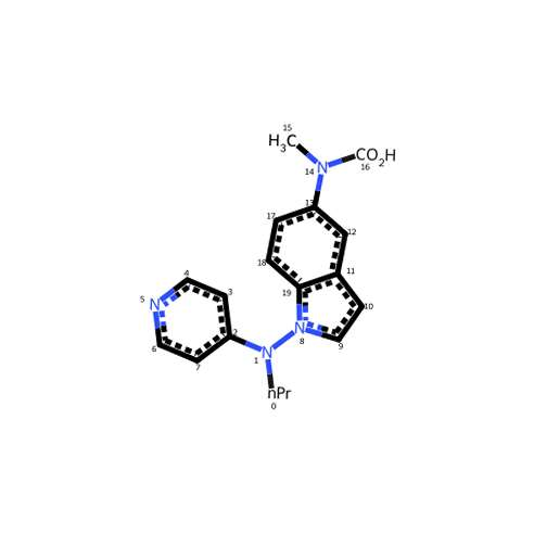 CCCN(c1ccncc1)n1ccc2cc(N(C)C(=O)O)ccc21